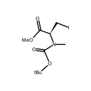 COC(=O)[C@@H](CI)N(C)C(=O)OC(C)(C)C